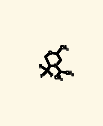 CC1CN(C(C)C)C(C(F)(F)F)CO1